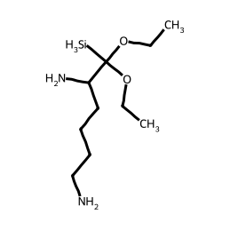 CCOC([SiH3])(OCC)C(N)CCCCN